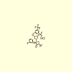 C[C@@H](O[C@H]1CC[C@@H]([C@H]2C[C@@H](N(C)C)C(=O)N2)[C@@H]1c1ccc(F)cc1)c1cc(C(F)(F)F)cc(C(F)(F)F)c1.Cl